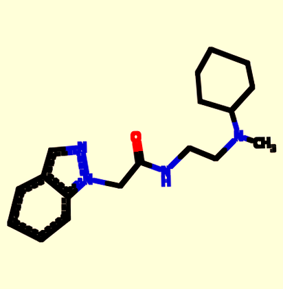 CN(CCNC(=O)Cn1ncc2ccccc21)C1CCCCC1